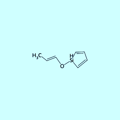 CC=CO[SiH]1C=CC=C1